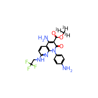 [2H]C([2H])([2H])OC(=O)c1c(N)c2ccc(NCC(F)(F)F)nc2n(-c2ccc(N)cc2)c1=O